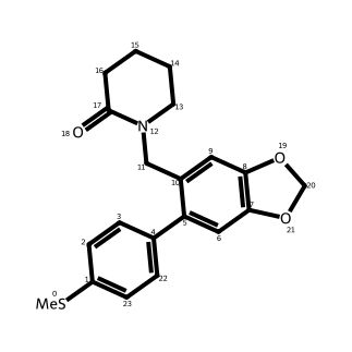 CSc1ccc(-c2cc3c(cc2CN2CCCCC2=O)OCO3)cc1